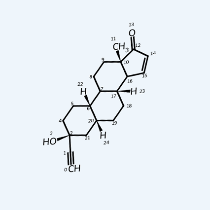 C#C[C@]1(O)CC[C@@H]2C3CC[C@]4(C)C(=O)C=CC4[C@@H]3CC[C@@H]2C1